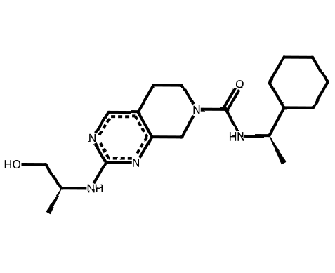 C[C@@H](CO)Nc1ncc2c(n1)CN(C(=O)N[C@H](C)C1CCCCC1)CC2